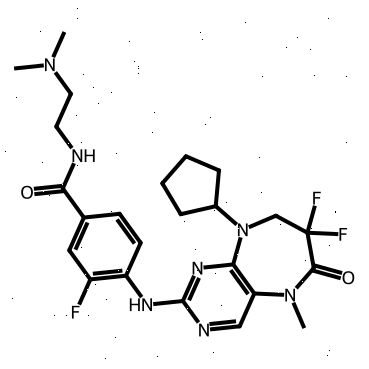 CN(C)CCNC(=O)c1ccc(Nc2ncc3c(n2)N(C2CCCC2)CC(F)(F)C(=O)N3C)c(F)c1